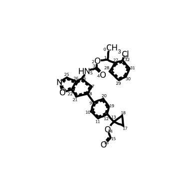 CC(OC(=O)Nc1cc(-c2ccc(C3(OC=O)CC3)cc2)cc2oncc12)c1ccccc1Cl